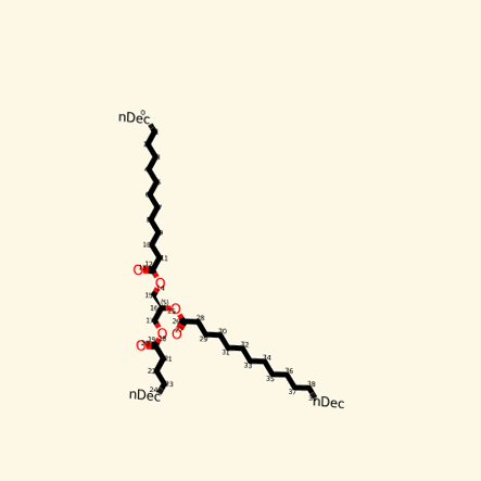 CCCCCCCCCCCCCCCCCCCCCC(=O)OC[C@H](COC(=O)CCCCCCCCCCCCC)OC(=O)CCCCCCCCCCCCCCCCCCCCC